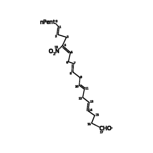 CCCCC/C=C/C/C(=C/C/C=C/C/C=C/C/C=C/CC[C]=O)[N+](=O)[O-]